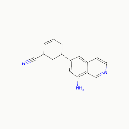 N#CC1C=CCC(c2cc(N)c3cnccc3c2)C1